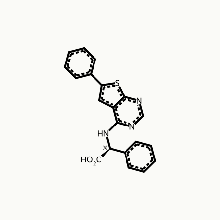 O=C(O)[C@@H](Nc1ncnc2sc(-c3ccccc3)cc12)c1ccccc1